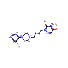 Cn1c(=O)cnn(CCCCN2CCN(c3ncncc3F)CC2)c1=O